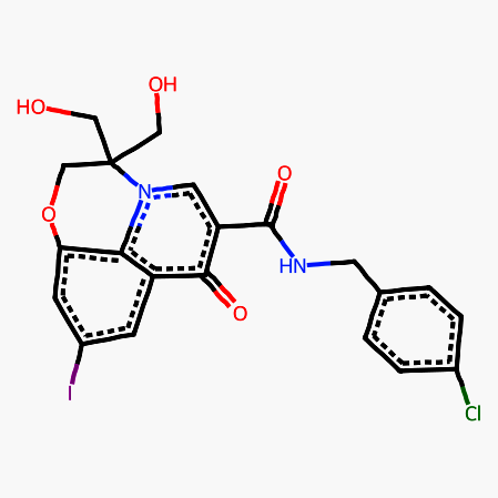 O=C(NCc1ccc(Cl)cc1)c1cn2c3c(cc(I)cc3c1=O)OCC2(CO)CO